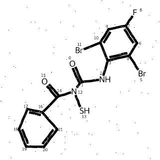 O=C(Nc1c(Br)cc(F)cc1Br)N(S)C(=O)c1ccccc1